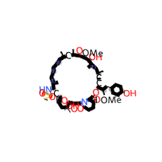 CO[C@@H]1C[C@H](C[C@@H](C)[C@@H]2CC[C@H](C)/C=C(\C)[C@@H](O)[C@@H](OC)C(=O)[C@H](C)C[C@H](C)/C=C/C=C/C=C(\C)[C@@H](NS(C)(=O)=O)C[C@@H]3CC[C@@H](C)[C@@](O)(O3)C(=O)C(=O)N3CCCC[C@H]3C(=O)O2)CC[C@H]1O